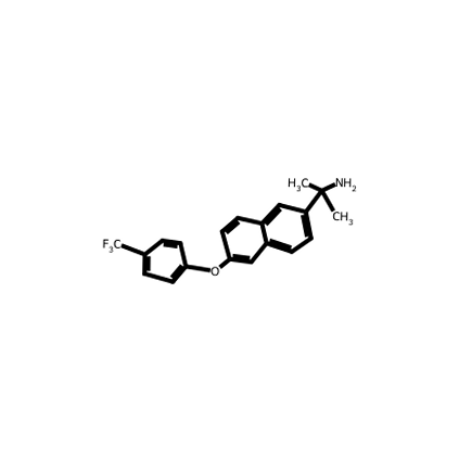 CC(C)(N)c1ccc2cc(Oc3ccc(C(F)(F)F)cc3)ccc2c1